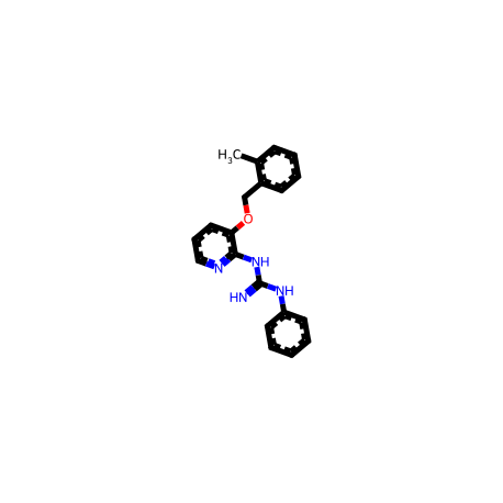 Cc1ccccc1COc1cccnc1NC(=N)Nc1ccccc1